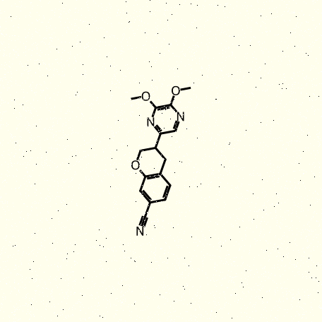 COc1ncc(C2COc3cc(C#N)ccc3C2)nc1OC